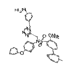 COc1ccc(-c2cccc(C)c2)cc1S(=O)(=O)N(Cc1nncn1Cc1ccc(N)cc1)c1ccc(Oc2ccccc2)cc1